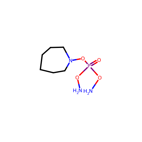 NOP(=O)(ON)ON1CCCCCC1